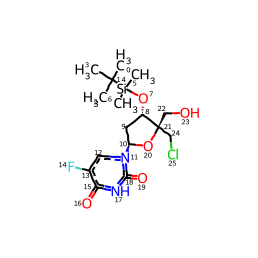 CC(C)(C)[Si](C)(C)O[C@H]1C[C@H](n2cc(F)c(=O)[nH]c2=O)O[C@@]1(CO)CCl